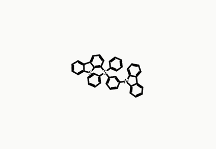 c1ccc(S(c2ccccc2)(c2cccc(-n3c4ccccc4c4ccccc43)c2)c2cccc3c2sc2ccccc23)cc1